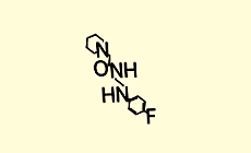 O=C(CN1CCCCC1)NCCNc1ccc(F)cc1